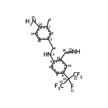 Cc1cc(CNc2ccc(C(F)(C(F)(F)F)C(F)(F)F)cc2C=N)ccc1N